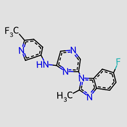 Cc1nc2ccc(F)cc2n1-c1cncc(Nc2ccc(C(F)(F)F)nc2)n1